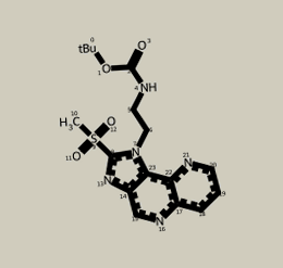 CC(C)(C)OC(=O)NCCn1c(S(C)(=O)=O)nc2cnc3cccnc3c21